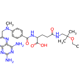 CCOC(C)(C)CNC(=O)CCC(NC(=O)c1ccc(N(C)Cc2cnc3nc(N)nc(N)c3n2)cc1)C(=O)O